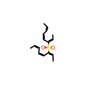 C\C=C/C=C\C(=C/C)S(=O)(=O)C(/C=C\C=C/C)=C/C